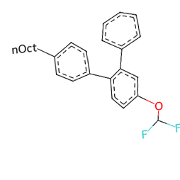 CCCCCCCCc1ccc(-c2ccc(OC(F)F)cc2-c2ccccc2)cc1